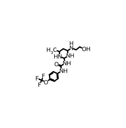 CC1CC(NCCO)NC(NC(=O)Nc2ccc(OC(F)(F)F)cc2)N1